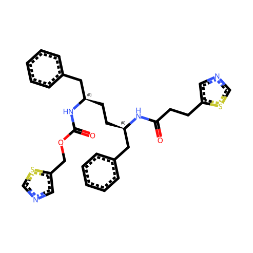 O=C(CCc1cncs1)N[C@H](CC[C@H](Cc1ccccc1)NC(=O)OCc1cncs1)Cc1ccccc1